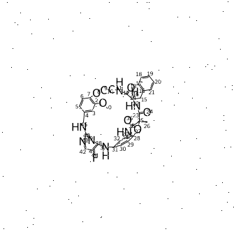 COc1cc2ccc1OCCNC(=O)[C@H](Cc1ccccc1)NC(=O)[C@]1(C)Oc3ccc(cc3NC1=O)Nc1nc(ncc1F)N2